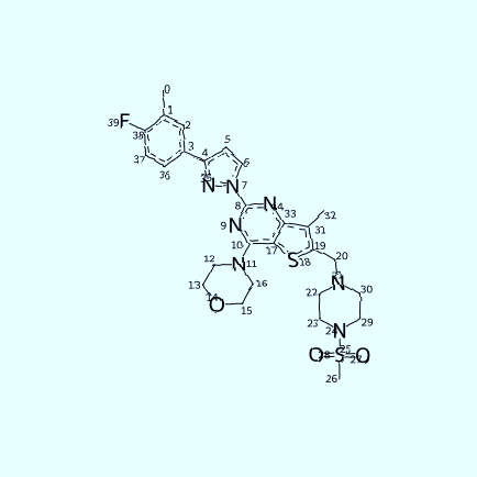 Cc1cc(-c2ccn(-c3nc(N4CCOCC4)c4sc(CN5CCN(S(C)(=O)=O)CC5)c(C)c4n3)n2)ccc1F